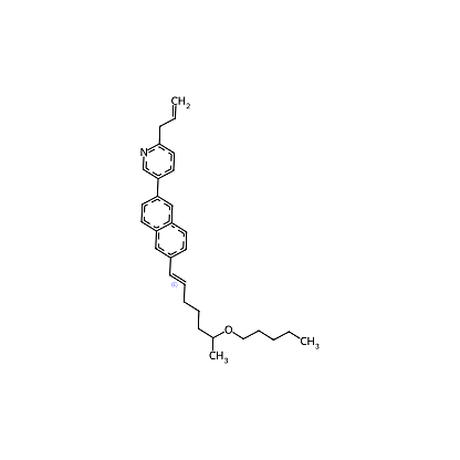 C=CCc1ccc(-c2ccc3cc(/C=C/CCCC(C)OCCCCC)ccc3c2)cn1